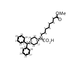 COC(=O)CCCCCCCN(C(=O)O)N1CCN(C(c2ccccc2)c2ccccc2)CC1